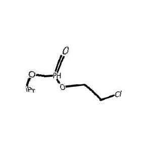 CC(C)O[PH](=O)OCCCl